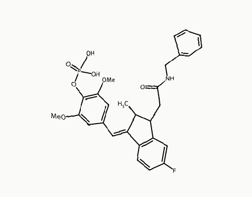 COc1cc(C=C2c3ccc(F)cc3C(CC(=O)NCc3ccccc3)C2C)cc(OC)c1OP(=O)(O)O